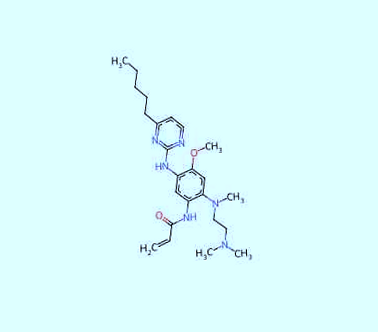 C=CC(=O)Nc1cc(Nc2nccc(CCCCC)n2)c(OC)cc1N(C)CCN(C)C